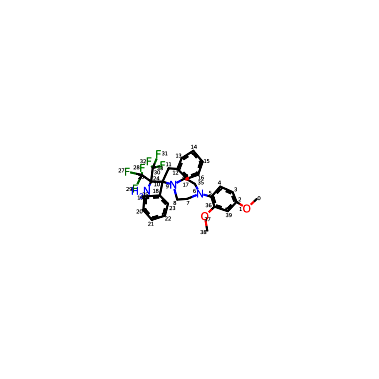 COc1ccc(N2CCN(C(Cc3ccccc3)(c3ccccc3)C(N)(C(F)(F)F)C(F)(F)F)CC2)c(OC)c1